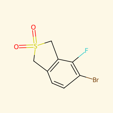 O=S1(=O)Cc2ccc(Br)c(F)c2C1